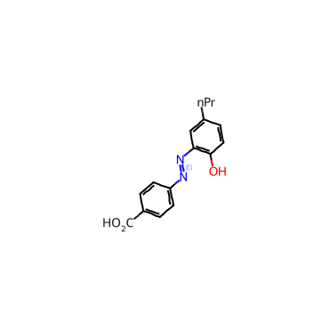 CCCc1ccc(O)c(/N=N/c2ccc(C(=O)O)cc2)c1